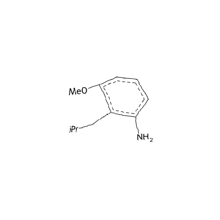 COc1cccc(N)c1CC(C)C